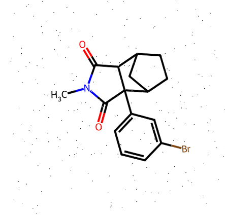 CN1C(=O)C2C3CCC(C3)C2(c2cccc(Br)c2)C1=O